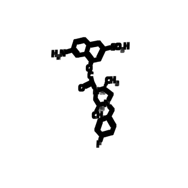 C[C@@H]1CN(Cc2ccc(F)cc2)[C@@H](C)CN1C(=O)COc1cc(S(=O)(=O)O)cc2ccc(N)cc12